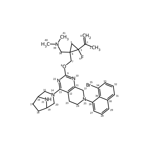 C=C(C)C1(F)CC1(COc1nc2c(c(N3CC4CCC(C3)N4)n1)CCN(c1cccc3cccc(Br)c13)C2)CN(C)C